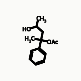 CC(=O)OC(C)(CC(C)O)c1ccccc1